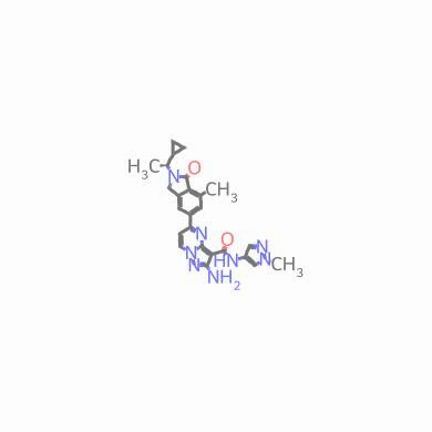 Cc1cc(-c2ccn3nc(N)c(C(=O)Nc4cnn(C)c4)c3n2)cc2c1C(=O)N([C@@H](C)C1CC1)C2